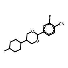 N#Cc1ccc(C2OCC(C3CCC(I)CC3)CO2)cc1F